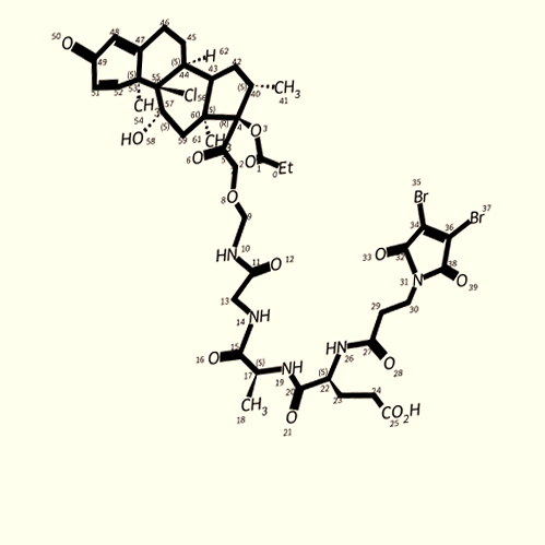 CCC(=O)O[C@]1(C(=O)COCNC(=O)CNC(=O)[C@H](C)NC(=O)[C@H](CCC(=O)O)NC(=O)CCN2C(=O)C(Br)=C(Br)C2=O)[C@@H](C)CC2[C@@H]3CCC4=CC(=O)C=C[C@]4(C)[C@@]3(Cl)[C@@H](O)C[C@@]21C